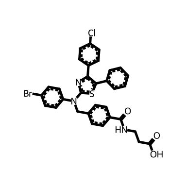 O=C(O)CCNC(=O)c1ccc(CN(c2ccc(Br)cc2)c2nc(-c3ccc(Cl)cc3)c(-c3ccccc3)s2)cc1